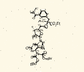 CCOC(=O)C(Cc1cccc(C(=O)N(C)C)c1)(OC[C@H]1O[C@@H](n2cnc3c(N(C(=O)OC(C)(C)C)C(=O)OC(C)(C)C)nc(Cl)nc32)[C@@H](F)[C@@H]1C)C(C)=O